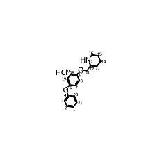 Cl.c1ccc(Oc2ccc(OC[C@@H]3CCCCN3)cc2)cc1